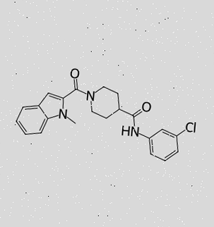 Cn1c(C(=O)N2CCC(C(=O)Nc3cccc(Cl)c3)CC2)cc2ccccc21